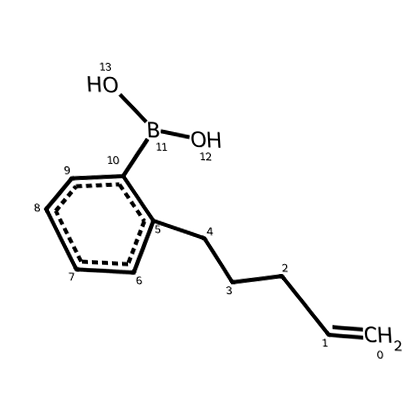 C=CCCCc1ccccc1B(O)O